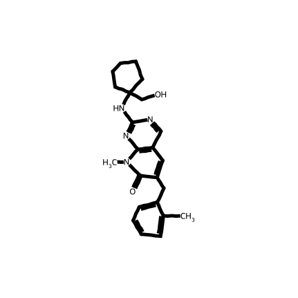 Cc1ccccc1Cc1cc2cnc(NC3(CO)CCCCC3)nc2n(C)c1=O